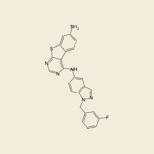 Bc1ccc2c(c1)sc1ncnc(Nc3ccc4c(cnn4Cc4cccc(F)c4)c3)c12